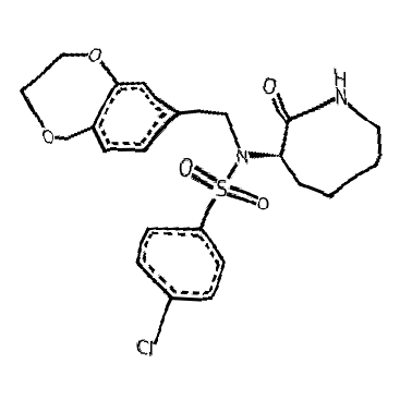 O=C1NCCCC[C@H]1N(Cc1ccc2c(c1)OCCO2)S(=O)(=O)c1ccc(Cl)cc1